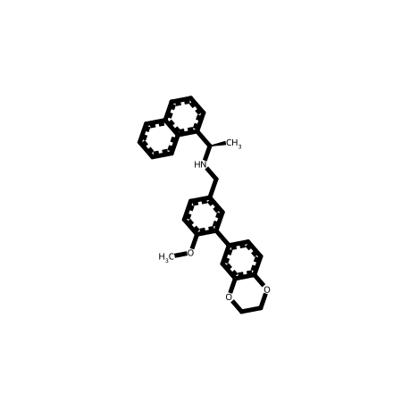 COc1ccc(CN[C@H](C)c2cccc3ccccc23)cc1-c1ccc2c(c1)OCCO2